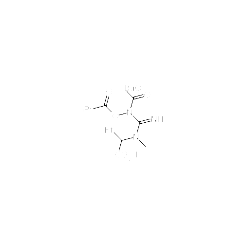 CCC(C(=O)O)N(C)C(=N)N(OC(=O)C(C)C)C(=O)OCC(C)C